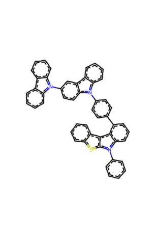 c1ccc(-n2c3cccc(-c4ccc(-n5c6ccccc6c6cc(-n7c8ccccc8c8ccccc87)ccc65)cc4)c3c3c4ccccc4sc32)cc1